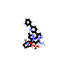 Cc1cc(C(=O)N2C3CC[C@@H]2CC(c2nc4c(-c5ccc(-c6ccccc6)nc5)cnn4c(N)c2S(C)(=O)=O)C3)[nH]n1